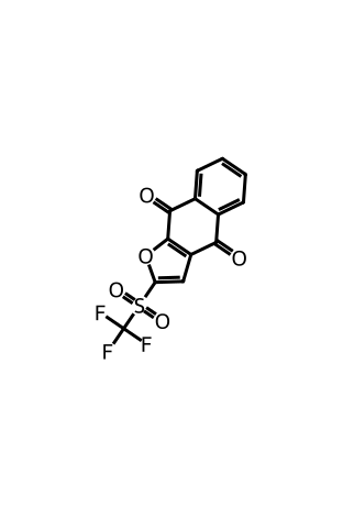 O=C1c2ccccc2C(=O)c2oc(S(=O)(=O)C(F)(F)F)cc21